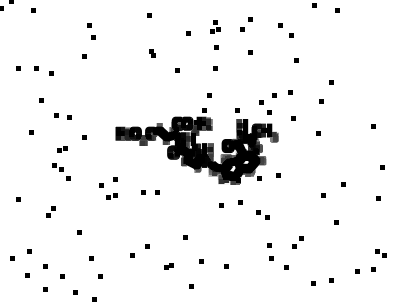 CCOC(=O)CC[C@@H](NC(=O)c1ccc(NCc2ccc3ccc4nc(C)[nH]c(=O)c4c3c2)s1)C(=O)OCC